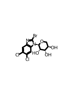 O[C@@H]1[C@H](O)[C@@H](n2c(Br)nc3cc(Cl)c(Cl)cc32)OC[C@H]1O